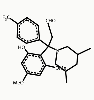 COc1cc(O)c(C(CC=O)(c2ccc(C(F)(F)F)cc2)N2CC(C)CC(C)C2)c(OC)c1